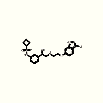 O=S(=O)(Nc1cccc(C(O)CNCCOc2ccc3c(Cl)n[nH]c3c2)c1)C1CCC1